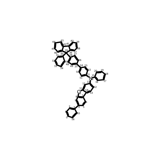 c1ccc(-c2ccc3c(c2)oc2cc(N(c4ccccc4)c4ccc(-c5ccc(C6(c7ccccc7)c7ccccc7-c7ccccc76)cc5)cc4)ccc23)cc1